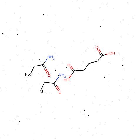 CCC(N)=O.CCC(N)=O.O=C(O)CCCC(=O)O